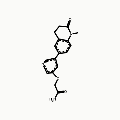 CN1C(=O)CCc2cc(-c3cncc(OCC(N)=O)c3)ccc21